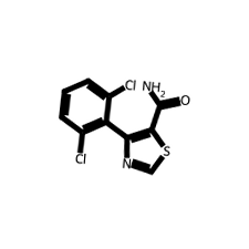 NC(=O)c1scnc1-c1c(Cl)cccc1Cl